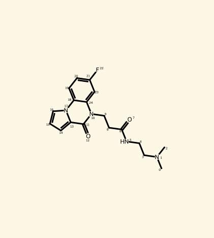 CN(C)CCNC(=O)CCn1c(=O)c2cccn2c2ccc(F)cc21